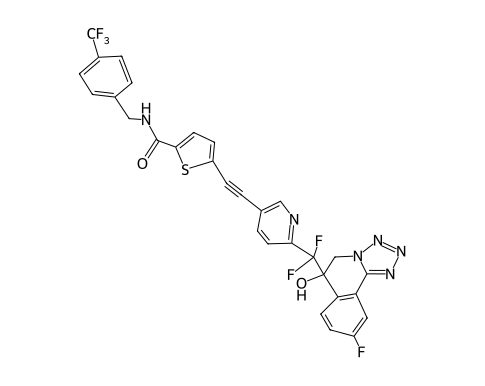 O=C(NCc1ccc(C(F)(F)F)cc1)c1ccc(C#Cc2ccc(C(F)(F)C3(O)Cn4nnnc4-c4cc(F)ccc43)nc2)s1